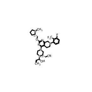 C=CC(O)N1CCN(c2nc(OC[C@@H]3CCCN3C)nc3c2CCN(c2cccc(F)c2C(F)(F)F)C3)C[C@@H]1CC#N